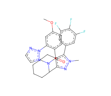 COc1ccc(C(=O)N2C3CCCC2c2nn(C)c(-c4cc(F)c(F)c(F)c4)c2C3)c(-n2nccn2)c1